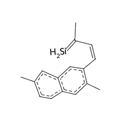 CC(=[SiH2])/C=C\c1cc2cc(C)ccc2cc1C